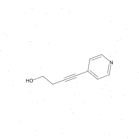 OCCC#Cc1ccncc1